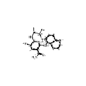 C[C@H](Nc1nc(Nc2cccc3ncccc23)c(C(N)=O)cc1F)[C@@H](C)N